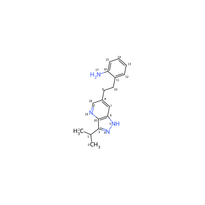 CC(C)c1n[nH]c2cc(CCc3ccccc3N)cnc12